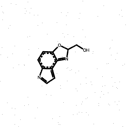 OCC1N=c2c(ccc3c2=CC=N3)O1